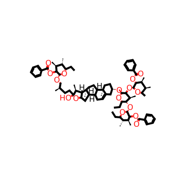 CCC1O[C@@H](OC[C@H](C)CCC2(O)OC3C[C@H]4[C@@H]5CC=C6C[C@@H](O[C@@H]7OC(CC)[C@@H](O[C@@H]8OC(CC)[C@@H](C)[C@H](C)C8OC(=O)c8ccccc8)[C@H](C)C7O[C@@H]7OC(C)[C@H](C)[C@H](C)C7OC(=O)c7ccccc7)CC[C@]6(C)[C@H]5CC[C@]4(C)[C@H]3[C@@H]2C)C(OC(=O)c2ccccc2)[C@@H](C)[C@@H]1C